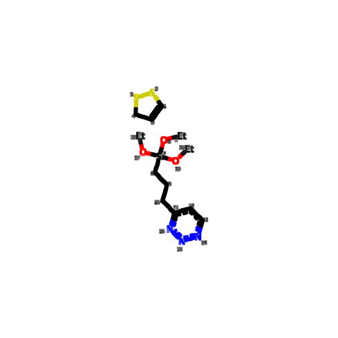 C1=CSSC1.CCO[Si](CCCc1ccnnn1)(OCC)OCC